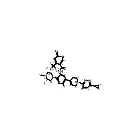 C[C@@H]1CN(c2cc(F)c(C3=CCN(c4ccc(C5CC5)nn4)CC3)cc2NC(=O)c2c[nH]c(=O)cc2C(F)(F)F)C[C@H](C)N1C